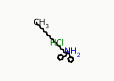 CCCCCCCCCCCCCCCCCCC(N)(Cc1ccccc1)Cc1ccccc1.Cl